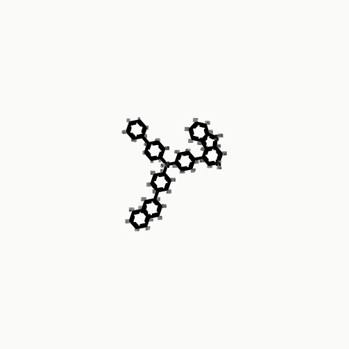 c1ccc(-c2ccc(N(c3ccc(-c4ccc5ccccc5c4)cc3)c3ccc(-c4cncc5sc6ccccc6c45)cc3)cc2)cc1